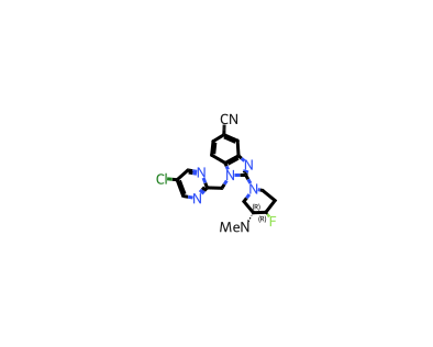 CN[C@@H]1CN(c2nc3cc(C#N)ccc3n2Cc2ncc(Cl)cn2)CC[C@H]1F